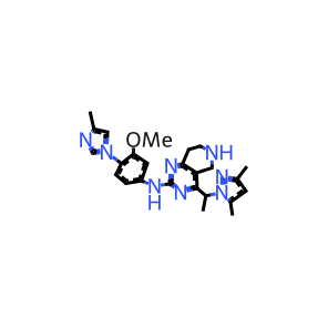 COc1cc(Nc2nc3c(c(C(C)n4nc(C)cc4C)n2)CNCC3)ccc1-n1cnc(C)c1